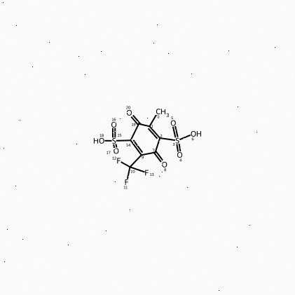 CC1=C(S(=O)(=O)O)C(=O)C(C(F)(F)F)=C(S(=O)(=O)O)C1=O